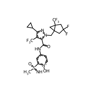 CS(=N)(=O)c1cc(NC(=O)c2c(C(F)(F)F)c(C3CC3)nn2CC23CC(F)(F)CC2(C(F)(F)F)C3)cc[n+]1O